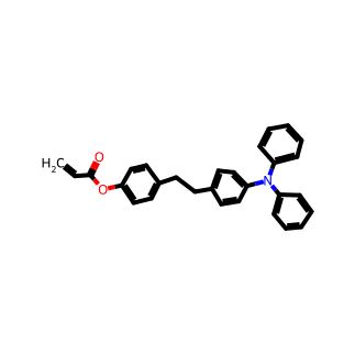 C=CC(=O)Oc1ccc(CCc2ccc(N(c3ccccc3)c3ccccc3)cc2)cc1